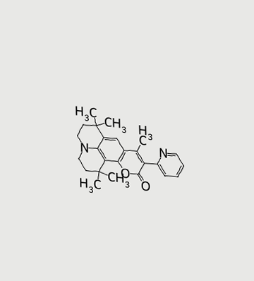 Cc1c(-c2ccccn2)c(=O)oc2c3c4c(cc12)C(C)(C)CCN4CCC3(C)C